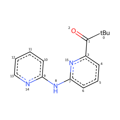 CC(C)(C)C(=O)c1cccc(Nc2ccccn2)n1